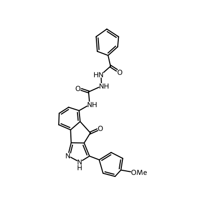 COc1ccc(-c2[nH]nc3c2C(=O)c2c(NC(=O)NNC(=O)c4ccccc4)cccc2-3)cc1